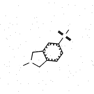 CC(=O)N1Cc2ccc(S(C)(=O)=O)cc2C1